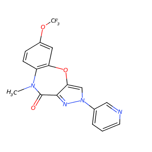 CN1C(=O)c2nn(-c3cccnc3)cc2Oc2cc(OC(F)(F)F)ccc21